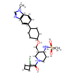 Cn1cnc2cc(C3CCC(OC[C@@H]4CN(C(=O)C5(F)CCC5)CC[C@@H]4NS(C)(=O)=O)CC3)ccc21